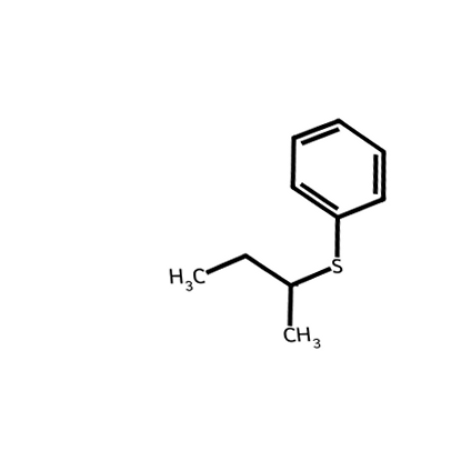 CC[C](C)Sc1ccccc1